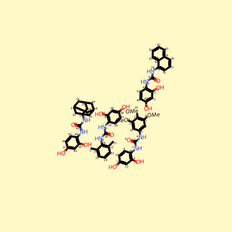 COc1cc(NC(=O)Nc2ccc(O)cc2O)cc(OC)c1OC.Cc1cccc(C)c1NC(=O)Nc1ccc(O)cc1O.O=C(Nc1ccc(O)cc1O)NC12CC3CC(CC(C3)C1)C2.O=C(Nc1ccc(O)cc1O)Nc1cccc2ccccc12